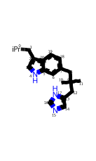 CC(C)Cc1c[nH]c2cc(CC(C)(C)Cc3cnc[nH]3)ccc12